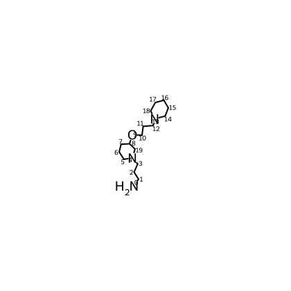 NCCCN1CCCC(OCCCN2CCCCC2)C1